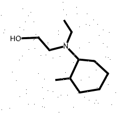 CCN(CCO)C1CCCCC1C